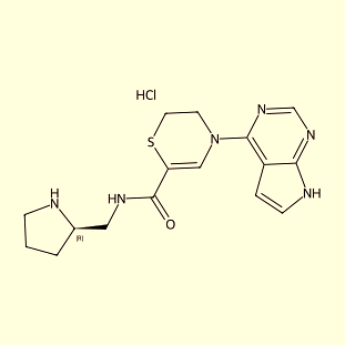 Cl.O=C(NC[C@H]1CCCN1)C1=CN(c2ncnc3[nH]ccc23)CCS1